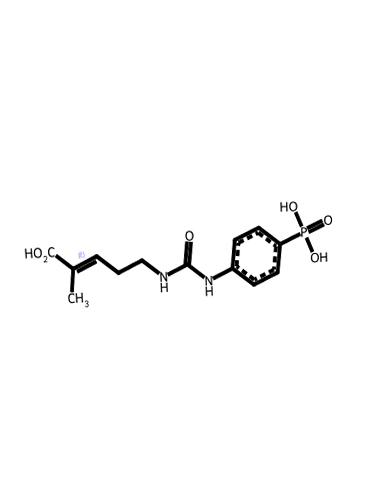 C/C(=C\CCNC(=O)Nc1ccc(P(=O)(O)O)cc1)C(=O)O